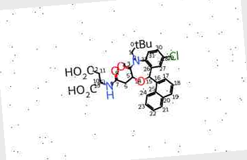 CC(C)(C)CN1C(=O)C(CC(=O)N[C@@H](CC(=O)O)C(=O)O)OC(c2cccc3ccccc23)c2cc(Cl)ccc21